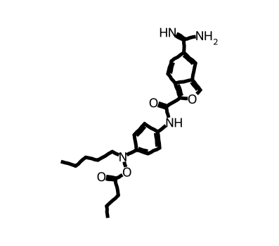 CCCCCN(OC(=O)CCC)c1ccc(NC(=O)c2occ3cc(C(=N)N)ccc23)cc1